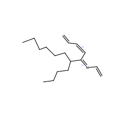 C=C/C=C\C(=N/C=C)C(CCCC)CCCCCC